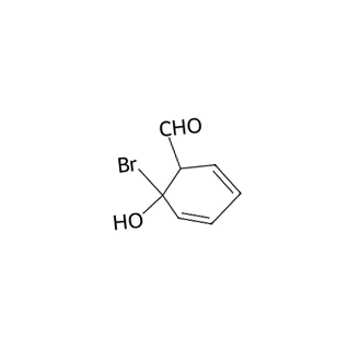 O=CC1C=CC=CC1(O)Br